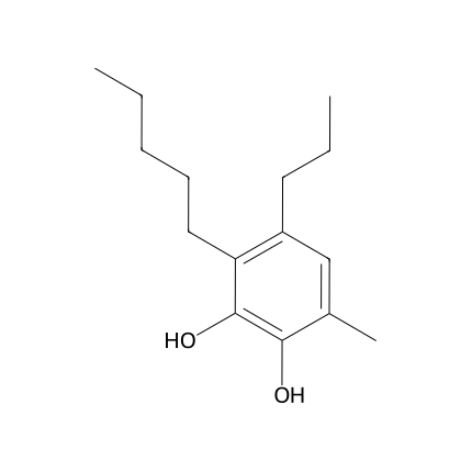 CCCCCc1c(CCC)cc(C)c(O)c1O